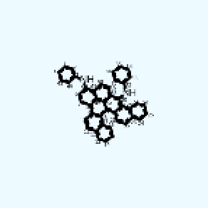 c1ccc(Nc2ccc3c4ccc5ccccc5c4c4c5ccc6ccccc6c5c(Nc5ccccc5)c5ccc2c3c54)cc1